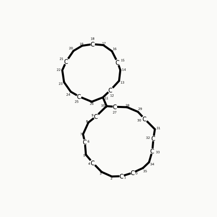 C1CCCCCCCCC[C](C2CCCCCCCCCCCCCCC2)CCCCCCCCC1